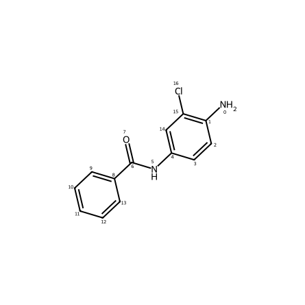 Nc1ccc(NC(=O)c2ccccc2)cc1Cl